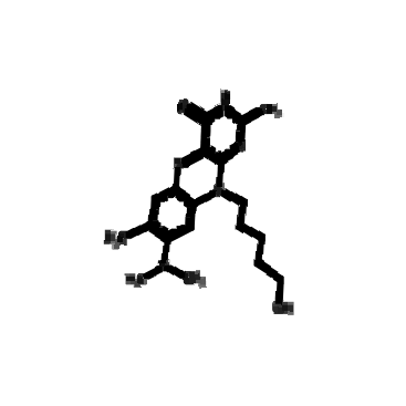 C=c1nc2c(c(=O)[nH]1)=Nc1cc(C)c(N(C)C)cc1N2CCCCCO